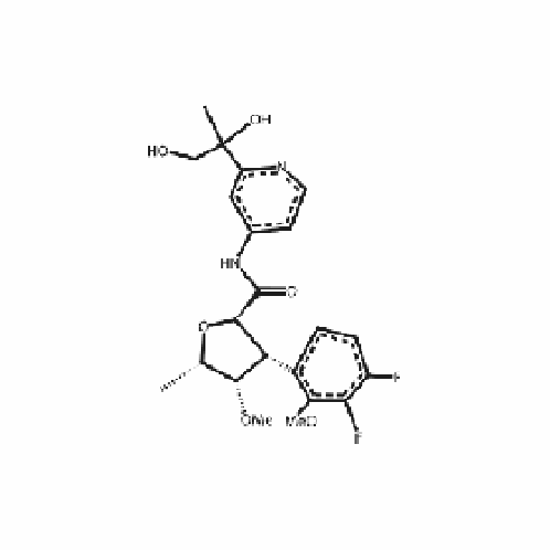 COc1c([C@@H]2[C@H](OC)[C@H](C)O[C@H]2C(=O)Nc2ccnc(C(C)(O)CO)c2)ccc(F)c1F